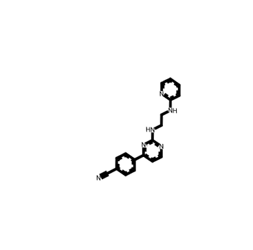 N#Cc1ccc(-c2ccnc(NCCNc3ccccn3)n2)cc1